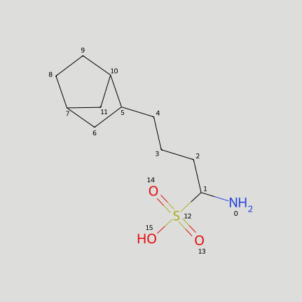 NC(CCCC1CC2CCC1C2)S(=O)(=O)O